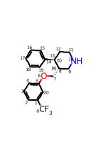 FC(F)(F)c1cccc(OC[C@H]2CNCC[C@@H]2c2ccccc2)c1